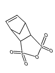 O=S1(=O)OS(=O)(=O)C2C3C=CC(C3)C21